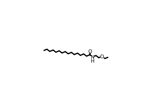 CCCCCCCCCCCCCCCC(=O)NCCOCC